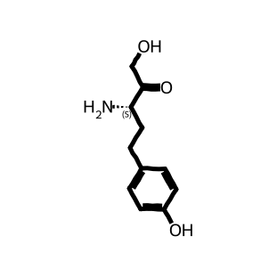 N[C@@H](CCc1ccc(O)cc1)C(=O)CO